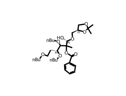 CCCCOCC[C@@H](OCCCC)C(OCCCC)C(C)(OC(=O)c1ccccc1)[C@H](O)OC[C@H]1COC(C)(C)O1